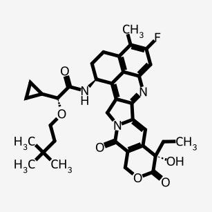 CC[C@@]1(O)C(=O)OCc2c1cc1n(c2=O)Cc2c-1nc1cc(F)c(C)c3c1c2[C@@H](NC(=O)[C@H](OCCC(C)(C)C)C1CC1)CC3